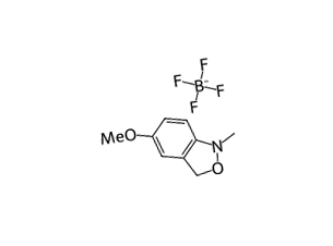 COc1ccc2c(c1)CON2C.F[B-](F)(F)F